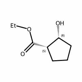 CCOC(=O)[C@H]1CCC[C@H]1O